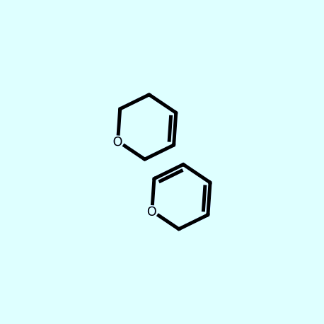 C1=CCOC=C1.C1=CCOCC1